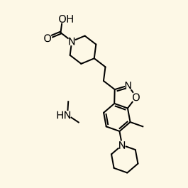 CNC.Cc1c(N2CCCCC2)ccc2c(CCC3CCN(C(=O)O)CC3)noc12